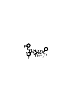 CCOC(=O)C(C)(COCc1ccccc1)c1nnc(-c2nn(Cc3ccccc3F)c3ncc(F)cc23)nc1O